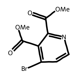 COC(=O)c1nccc(Br)c1C(=O)OC